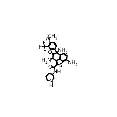 COc1ccc(C2(N)C(=O)C(N)c3c(C(=O)NC4CCCNC4)sc4c(N)ccc2c34)cc1C(F)(F)F